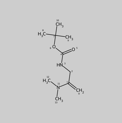 C=C(CNC(=O)OC(C)(C)C)N(C)C